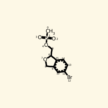 CS(=O)(=O)OCC1OCc2cc(Br)ccc21